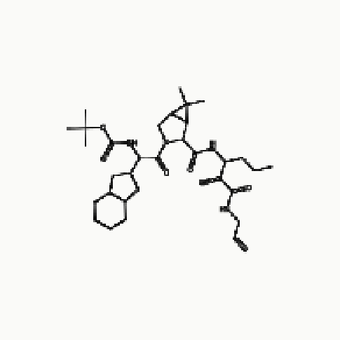 C=CCNC(=O)C(=O)C(CCC)NC(=O)C1C2C(CN1C(=O)C(NC(=O)OC(C)(C)C)C1CC3CCCCC3C1)C2(C)C